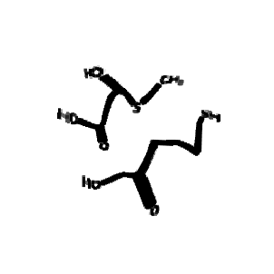 CSC(O)C(=O)O.O=C(O)CCS